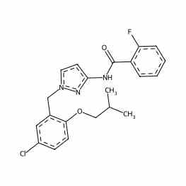 CC(C)COc1ccc(Cl)cc1Cn1ccc(NC(=O)c2ccccc2F)n1